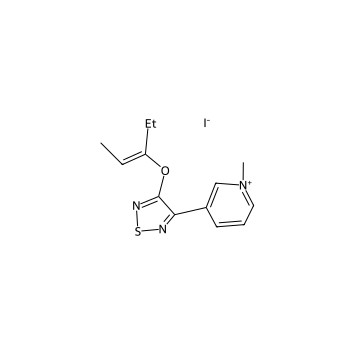 CC=C(CC)Oc1nsnc1-c1ccc[n+](C)c1.[I-]